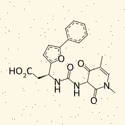 CC1=CN(C)C(=O)C(NC(=O)N[C@@H](CC(=O)O)c2ccc(-c3ccccc3)o2)C1=O